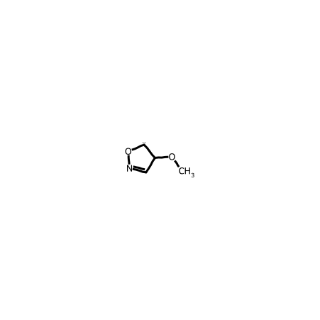 COC1[C]ON=C1